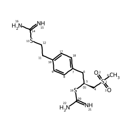 CS(=O)(=O)C[C@H](Cc1ccc(CCSC(=N)N)cc1)SC(=N)N